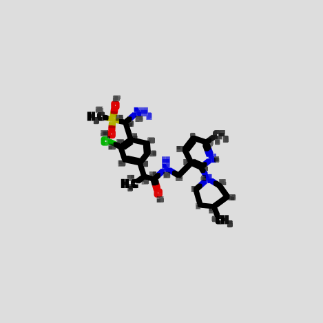 CC1CCN(c2nc(C(F)(F)F)ccc2CNC(=O)C(C)c2ccc(C(N)S(C)(=O)=O)c(Cl)c2)CC1